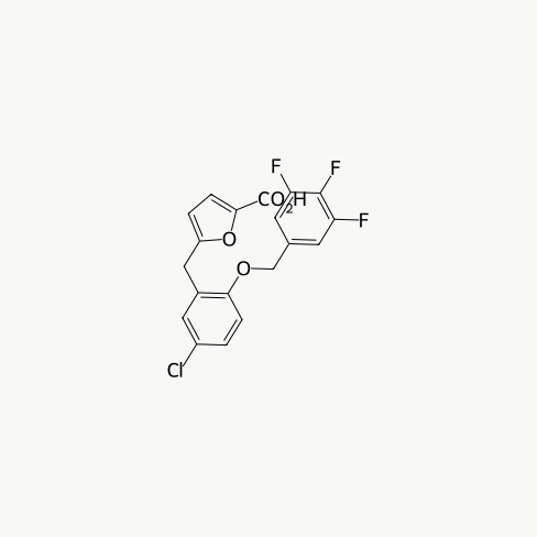 O=C(O)c1ccc(Cc2cc(Cl)ccc2OCc2cc(F)c(F)c(F)c2)o1